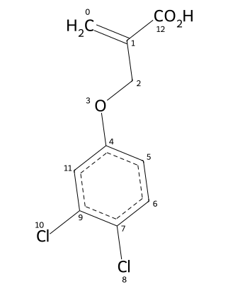 C=C(COc1ccc(Cl)c(Cl)c1)C(=O)O